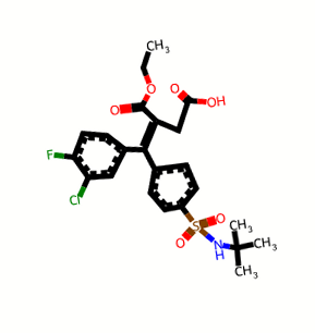 CCOC(=O)/C(CC(=O)O)=C(/c1ccc(S(=O)(=O)NC(C)(C)C)cc1)c1ccc(F)c(Cl)c1